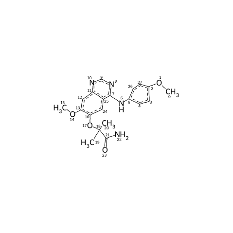 COc1ccc(Nc2ncnc3cc(OC)c(OC(C)(C)C(N)=O)cc23)cc1